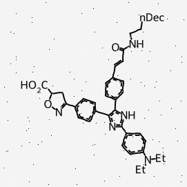 CCCCCCCCCCCCNC(=O)C=Cc1ccc(-c2[nH]c(-c3ccc(N(CC)CC)cc3)nc2-c2ccc(C3=NOC(C(=O)O)C3)cc2)cc1